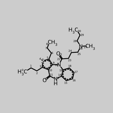 CCCc1sc(CCC)c2c1C(=O)Nc1ccccc1N2C(=O)CCCN(C)CCC